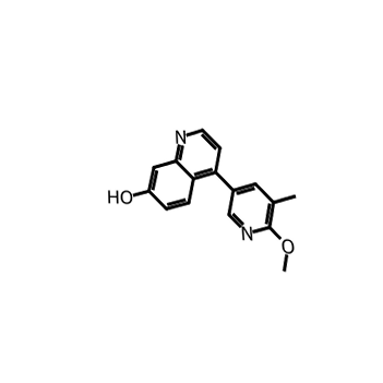 COc1ncc(-c2ccnc3cc(O)ccc23)cc1C